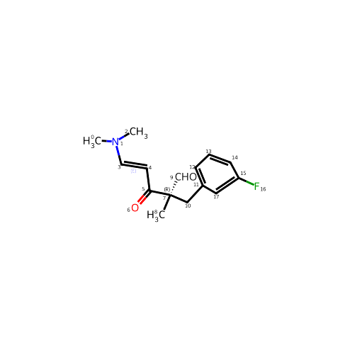 CN(C)/C=C/C(=O)[C@@](C)(C=O)Cc1cccc(F)c1